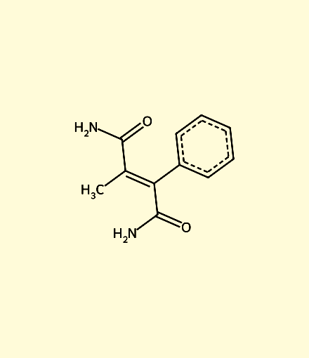 CC(C(N)=O)=C(C(N)=O)c1ccccc1